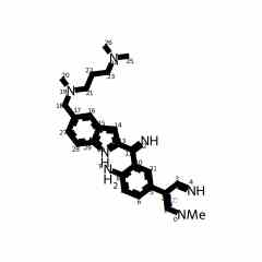 CN/C=C(\C=N)c1ccc(N)c(C(=N)c2cc3cc(CN(C)CCCN(C)C)ccc3[nH]2)c1